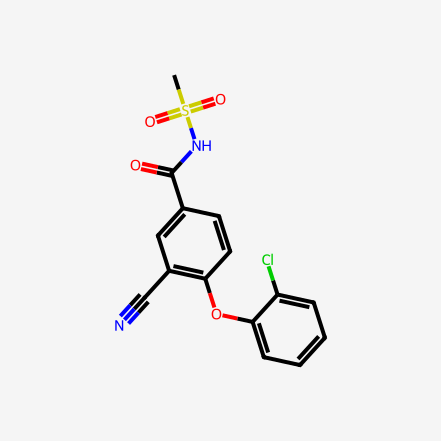 CS(=O)(=O)NC(=O)c1ccc(Oc2ccccc2Cl)c(C#N)c1